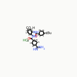 CC(C)(C)c1ccc(C(=O)Nc2cc(C(=O)O)ccc2NC(=O)c2ccc(C(=N)N)cc2)cc1.Cl